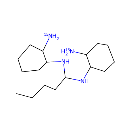 CCCCC(NC1CCCCC1[15NH2])NC1CCCCC1[15NH2]